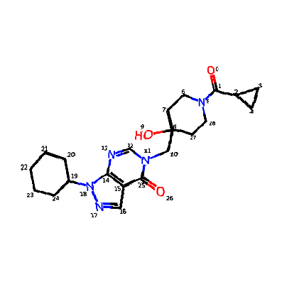 O=C(C1CC1)N1CCC(O)(Cn2cnc3c(cnn3C3CCCCC3)c2=O)CC1